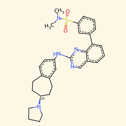 CN(C)S(=O)(=O)c1cccc(-c2cccc3cnc(Nc4ccc5c(c4)CC[C@@H](N4CCCC4)CC5)nc23)c1